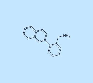 NCc1ccccc1-c1ccc2ccccc2c1